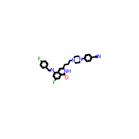 N#Cc1ccc(N2CCN(CCCc3cc4c(N=Cc5ccc(F)cc5)cc(F)cc4c(=O)[nH]3)CC2)cc1